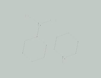 C1CCNCC1.CN(C)C1CCCCC1